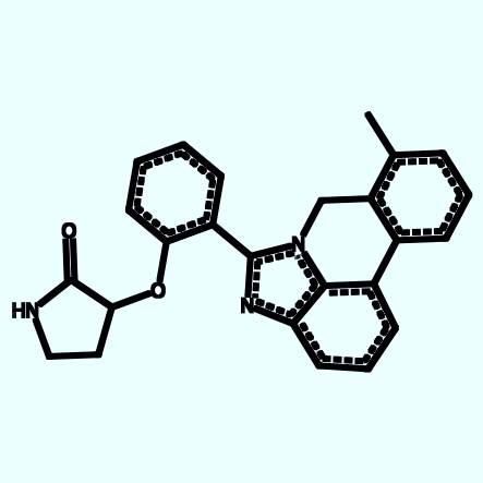 Cc1cccc2c1Cn1c(-c3ccccc3OC3CCNC3=O)nc3cccc-2c31